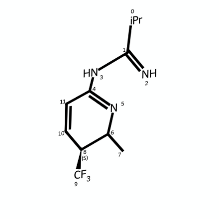 CC(C)C(=N)NC1=NC(C)[C@@H](C(F)(F)F)C=C1